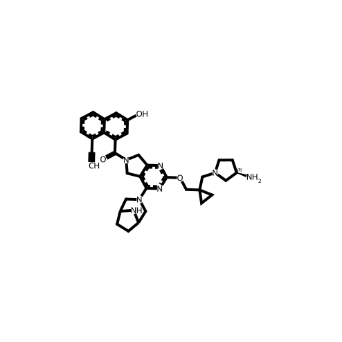 C#Cc1cccc2cc(O)cc(C(=O)N3Cc4nc(OCC5(CN6CC[C@@H](N)C6)CC5)nc(N5CC6CCC(C5)N6)c4C3)c12